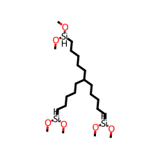 CO[SiH](CCCCCC(CCCCC[SiH](OC)OC)CCCCC[SiH](OC)OC)OC